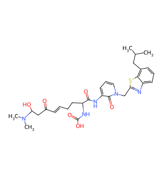 CC(C)Cc1cccc2nc(Cn3cccc(NC(=O)C(CC/C=C/C(=O)CC(O)N(C)C)NC(=O)O)c3=O)sc12